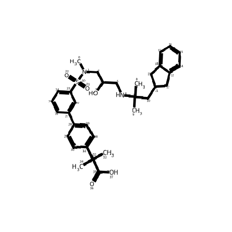 CN(CC(O)CNC(C)(C)CC1Cc2ccccc2C1)S(=O)(=O)c1cccc(-c2ccc(C(C)(C)C(=O)O)cc2)c1